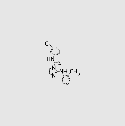 Cc1ccccc1NC1=NCCN1C(=S)Nc1cccc(Cl)c1